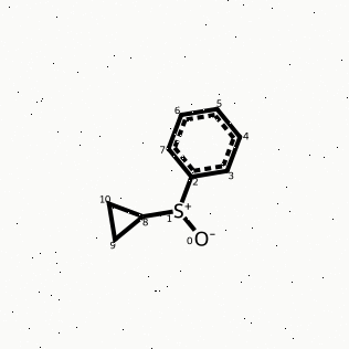 [O-][S+](c1ccccc1)C1CC1